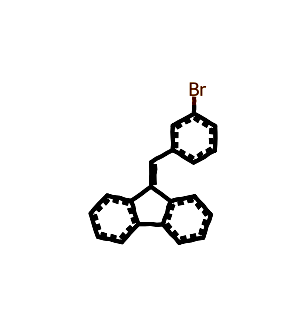 Brc1cccc(C=C2c3ccccc3-c3ccccc32)c1